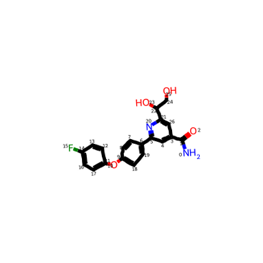 NC(=O)c1cc(-c2ccc(Oc3ccc(F)cc3)cc2)nc(C(O)CO)c1